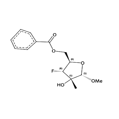 CO[C@H]1O[C@H](COC(=O)c2ccccc2)[C@@H](F)[C@@]1(C)O